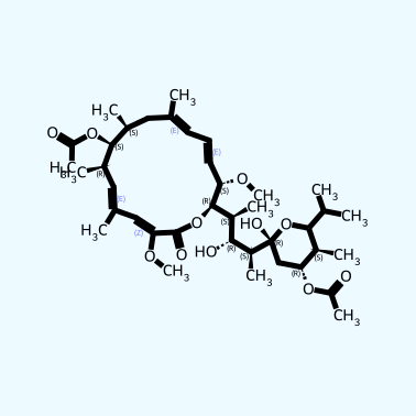 CO/C1=C\C(C)=C\[C@@H](C)[C@@H](OC(C)=O)[C@@H](C)C/C(C)=C/C=C/[C@H](OC)[C@@H]([C@@H](C)[C@@H](O)[C@H](C)[C@@]2(O)C[C@@H](OC(C)=O)[C@H](C)C(C(C)C)O2)OC1=O